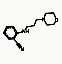 N#Cc1ccccc1NCCCN1CCOCC1